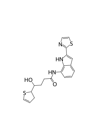 O=C(CCC(O)C1CC=CS1)Nc1cccc2cc(-c3nccs3)[nH]c12